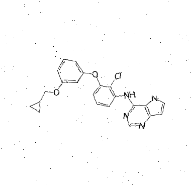 Clc1c(Nc2ncnc3c2[N]C=C3)cccc1Oc1cccc(OCC2CC2)c1